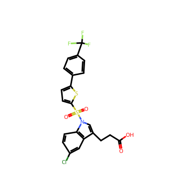 O=C(O)CCc1cn(S(=O)(=O)c2ccc(-c3ccc(C(F)(F)F)cc3)s2)c2ccc(Cl)cc12